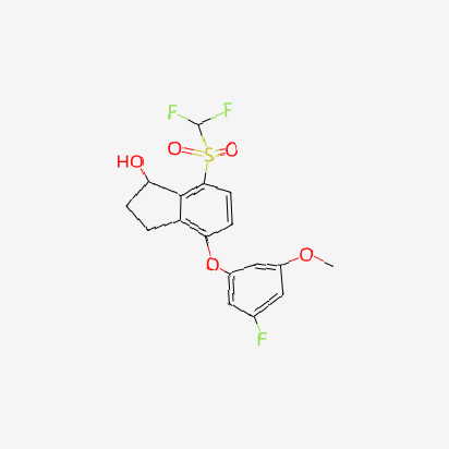 COc1cc(F)cc(Oc2ccc(S(=O)(=O)C(F)F)c3c2CCC3O)c1